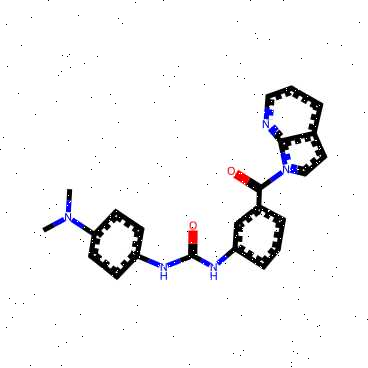 CN(C)c1ccc(NC(=O)Nc2cccc(C(=O)n3ccc4cccnc43)c2)cc1